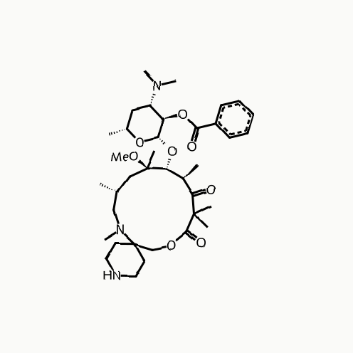 CO[C@]1(C)C[C@@H](C)CN(C)C2(CCNCC2)COC(=O)C(C)(C)C(=O)[C@H](C)[C@H]1O[C@@H]1O[C@H](C)C[C@H](N(C)C)[C@H]1OC(=O)c1ccccc1